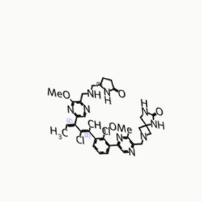 C/C=C(\C(Cl)=C(/C)c1cccc(-c2cnc(CN3CC4(CNC(=O)N4)C3)c(OC)n2)c1Cl)c1cnc(CNC[C@H]2CCC(=O)N2)c(OC)n1